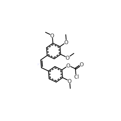 COc1ccc(/C=C\c2cc(OC)c(OC)c(OC)c2)cc1OC(=O)Cl